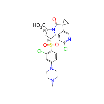 CN1CCN(c2ccc(S(=O)(=O)[C@@H]3C[C@H](C(=O)O)N(C(=O)C4(c5ccc(Cl)nc5)CC4)C3)c(Cl)c2)CC1